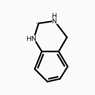 [CH]1NCc2ccccc2N1